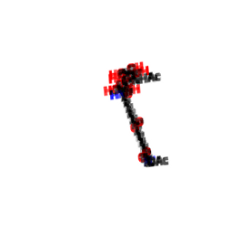 CC(=O)NC1[C@@H](O[C@H]2C(CO)O[C@H](O)C(NC(=O)CCCCCCCCCC(=O)OCCCCCCCCOC(=O)C[N+](C)(C)OC(C)=O)[C@@H]2O)OC(CO)[C@H](O)[C@H]1O